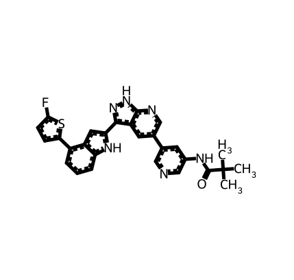 CC(C)(C)C(=O)Nc1cncc(-c2cnc3[nH]nc(-c4cc5c(-c6ccc(F)s6)cccc5[nH]4)c3c2)c1